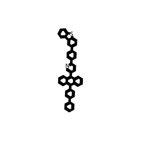 c1ccc(-c2ccc(-c3c4ccccc4c(-c4ccc(-c5ccc(-c6ccc7sc8ccccc8c7c6)cc5)nc4)c4ccccc34)cc2)cc1